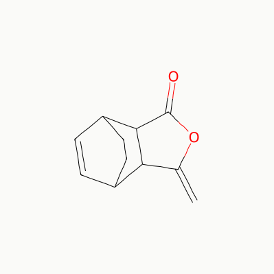 C=C1OC(=O)C2C3C=CC(CC3)C12